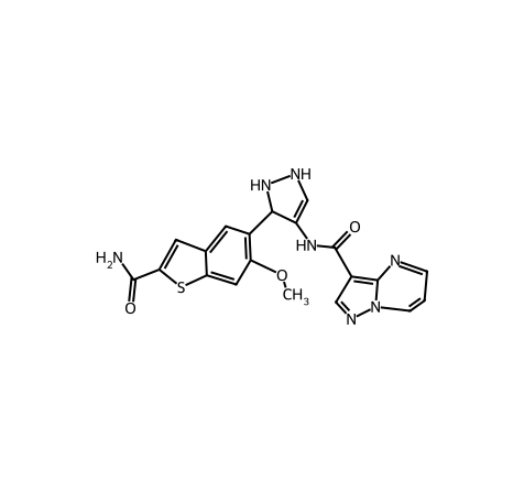 COc1cc2sc(C(N)=O)cc2cc1C1NNC=C1NC(=O)c1cnn2cccnc12